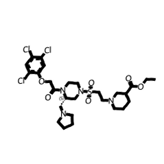 CCOC(=O)C1CCCN(CCS(=O)(=O)N2CCN(C(=O)COc3cc(Cl)c(Cl)cc3Cl)[C@@H](CN3CCCC3)C2)C1